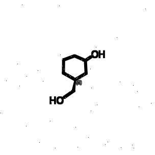 OC[C@H]1CCCC(O)C1